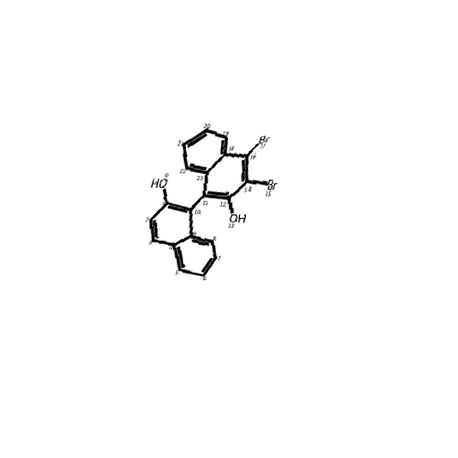 Oc1ccc2ccccc2c1-c1c(O)c(Br)c(Br)c2ccccc12